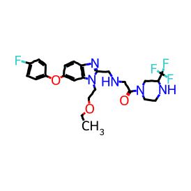 CCOCCn1c(CNCC(=O)N2CCNC(C(F)(F)F)C2)nc2ccc(Oc3ccc(F)cc3)cc21